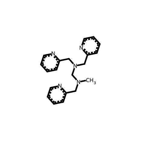 CN(Cc1ccccn1)CN(Cc1ccccn1)Cc1ccccn1